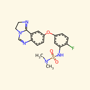 CN(C)S(=O)(=O)Nc1cc(Oc2ccc3c(c2)C2=NCCN2C=N3)ccc1F